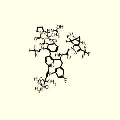 CC(C)(C#Cc1ccc(-c2ccc(Cl)c3c(N(C(=O)N4CCC[C@H]4CNC(=O)O)S(C)(=O)=O)nn(CC(F)(F)F)c23)c(C(Cc2cc(F)cc(F)c2)NC(=O)Cn2nc(C(F)(F)F)c3c2C(F)(F)[C@@H]2C[C@H]32)n1)S(C)(=O)=O